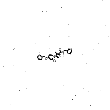 Cc1c(-n2ccc(OCc3ccccc3)cc2=O)csc1C(=O)NCc1cccnc1